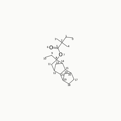 CCC(C)(C)C(=O)OC1(CC)CC2CC1C1C3CCC(C3)C21